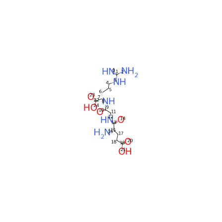 N=C(N)NCCC[C@H](NC(=O)CNC(=O)[C@@H](N)CCC(=O)O)C(=O)O